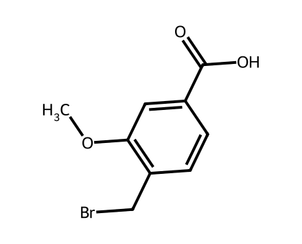 COc1cc(C(=O)O)ccc1CBr